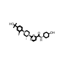 C[C@@H]1CN(c2ccc(C(C)(C)O)cc2F)CCN1c1nccc(C(=O)N[C@H]2CC[C@H](O)CC2)n1